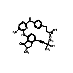 CN1Cc2c(C#CC(C)(C)O)ccc(Nc3nc(Nc4ccc(CC[PH](=O)O)cc4)ncc3C(F)(F)F)c2C1=O